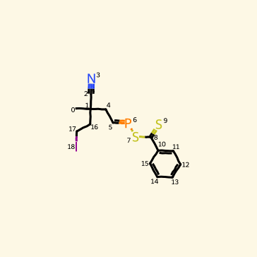 CC(C#N)(C/C=P/SC(=S)c1ccccc1)CCI